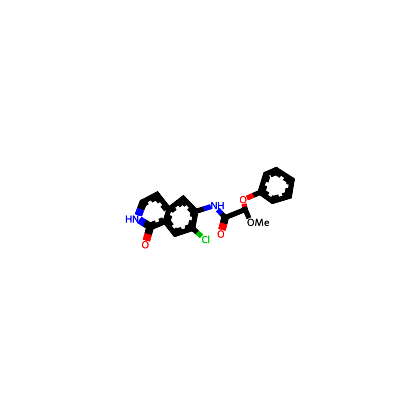 COC(Oc1ccccc1)C(=O)Nc1cc2cc[nH]c(=O)c2cc1Cl